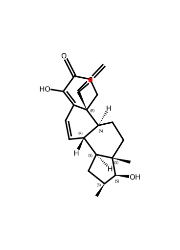 C=C=C[C@]12CCC(=O)C(O)=C1C=C[C@H]1[C@@H]3C[C@H](C)[C@H](O)[C@@]3(C)CC[C@@H]12